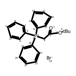 CC(C)(C)OC(=O)C[P+](c1ccccc1)(c1ccccc1)c1ccccc1.[Br-]